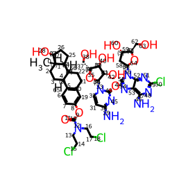 C[C@]12CC[C@@H]3c4ccc(OC(=O)N(CCCl)CCCl)cc4CC[C@H]3[C@@H]1CC[C@@H]2O.Nc1ccn([C@@H]2O[C@H](CO)[C@@H](O)[C@@H]2O)c(=O)n1.Nc1nc(Cl)nc2c1ncn2[C@H]1C[C@H](O)[C@@H](CO)O1